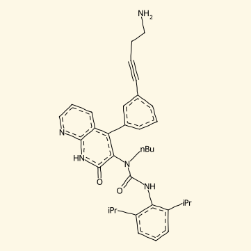 CCCCN(C(=O)Nc1c(C(C)C)cccc1C(C)C)c1c(-c2cccc(C#CCCN)c2)c2cccnc2[nH]c1=O